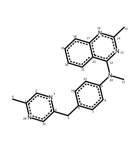 Cc1cnc(Cc2ccc(N(C)c3nc(C)nc4ccccc34)cc2)cn1